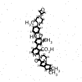 C[C@H]1CN(C2COC2)CCN1c1ccc(Nc2cc(-c3ccnc(N4CCn5c(cc6c5CC(C)(C)C6)C4=O)c3C(=O)O)cn(C)c2=O)cc1